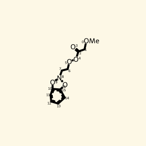 COCC(=O)OOCCN1Oc2ccccc2O1